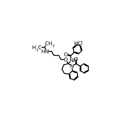 CC(C)NCCCCOC1(NC(=O)c2ccccc2)CCCc2ccccc2N1C(=O)c1ccccc1.Cl